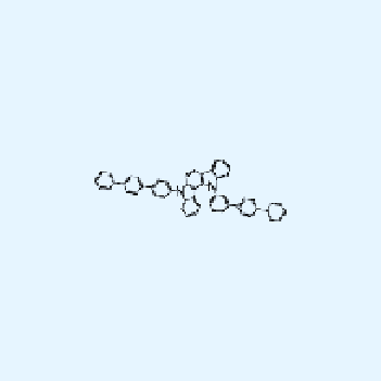 c1ccc(-c2ccc(-c3ccc(-n4c5ccccc5c5c4ccc4c6ccccc6n(-c6cccc(-c7ccc(-c8ccccc8)cc7)c6)c45)cc3)cc2)cc1